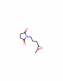 CC1OC1CCCN1C(=O)CCC1=O